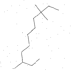 [CH2]C(CC)CCCCCC(C)(C)CC